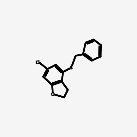 Clc1cc2c(c(SCc3ccccc3)c1)CCO2